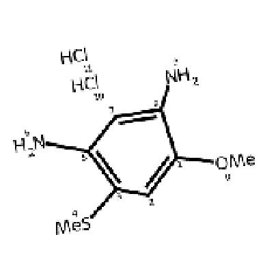 COc1cc(SC)c(N)cc1N.Cl.Cl